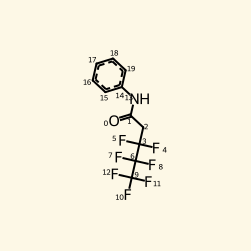 O=C(CC(F)(F)C(F)(F)C(F)(F)F)Nc1ccccc1